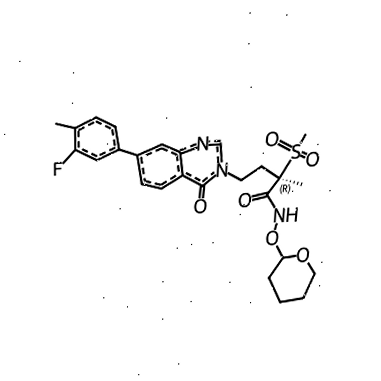 Cc1ccc(-c2ccc3c(=O)n(CC[C@](C)(C(=O)NOC4CCCCO4)S(C)(=O)=O)cnc3c2)cc1F